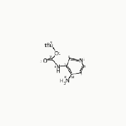 CC(C)(C)OC(=O)Nc1cnccc1N